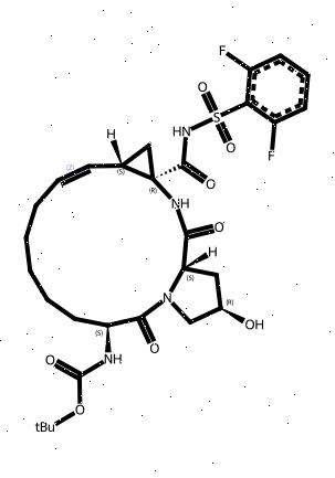 CC(C)(C)OC(=O)N[C@H]1CCCCC/C=C\[C@@H]2C[C@@]2(C(=O)NS(=O)(=O)c2c(F)cccc2F)NC(=O)[C@@H]2C[C@@H](O)CN2C1=O